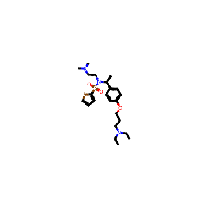 CCN(CC)CCCOc1ccc(C(C)N(CCN(C)C)S(=O)(=O)c2cccs2)cc1